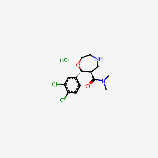 CN(C)C(=O)[C@@H]1CNCCO[C@H]1c1ccc(Cl)c(Cl)c1.Cl